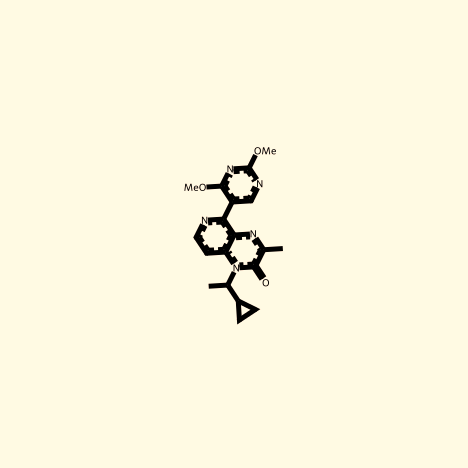 COc1ncc(-c2nccc3c2nc(C)c(=O)n3C(C)C2CC2)c(OC)n1